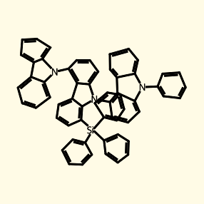 c1ccc(-n2c3ccccc3c3c(-n4c5cccc(-n6c7ccccc7c7ccccc76)c5c5cccc([Si](c6ccccc6)(c6ccccc6)c6ccccc6)c54)cccc32)cc1